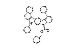 O=C(OCc1ccccc1)n1c2cc3c(cc2c2c(-c4ccccc4)cccc21)c1c2ccccc2ccc1n3-c1ccccc1